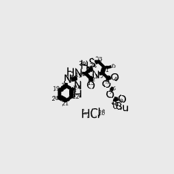 CC1=C(C(=O)OCOC(=O)C(C)(C)C)N2C(=O)C(Nc3nc4ccccc4[nH]3)[C@H]2SC1.Cl